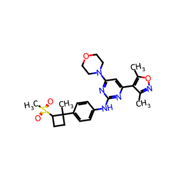 Cc1noc(C)c1-c1cc(N2CCOCC2)nc(Nc2ccc(C3(C)CCC3S(C)(=O)=O)cc2)n1